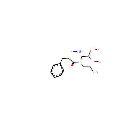 CCOC(CN(CCC(C)C)C(=O)[C@@H](CN)Cc1ccccc1)OCC